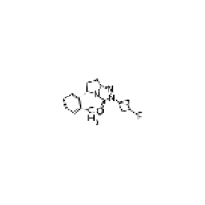 Cc1ccccc1[C@@H]1CCc2nn(C34CC(F)(C3)C4)c(=O)n21